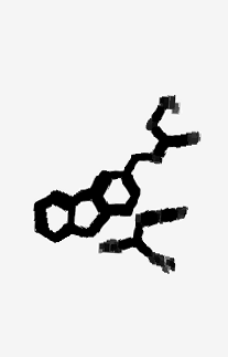 CCCCC(N=C=O)C(=O)O.NOC(=O)OCc1ccc2c(c1)-c1ccccc1C2